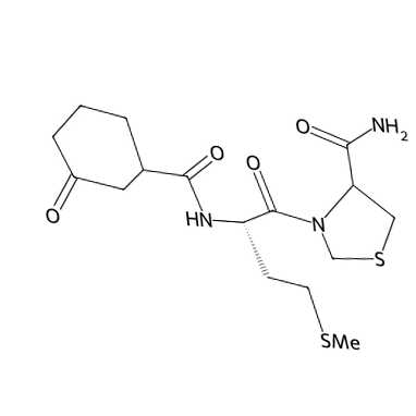 CSCC[C@H](NC(=O)C1CCCC(=O)C1)C(=O)N1CSCC1C(N)=O